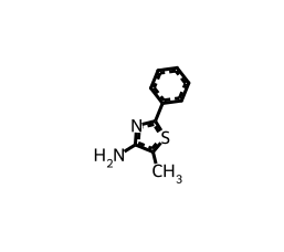 Cc1sc(-c2ccccc2)nc1N